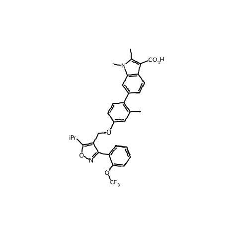 Cc1cc(OCc2c(-c3ccccc3OC(F)(F)F)noc2C(C)C)ccc1-c1ccc2c(C(=O)O)c(C)n(C)c2c1